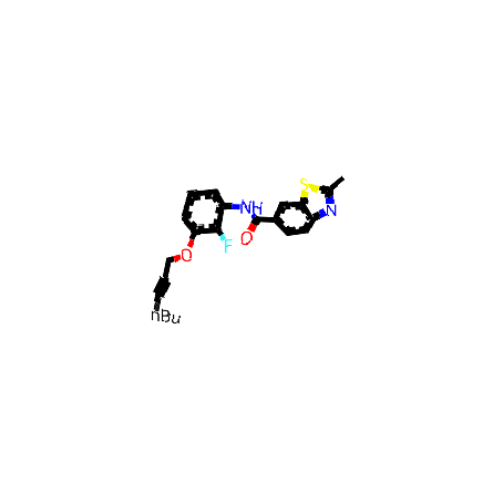 CCCCC#CCOc1cccc(NC(=O)c2ccc3nc(C)sc3c2)c1F